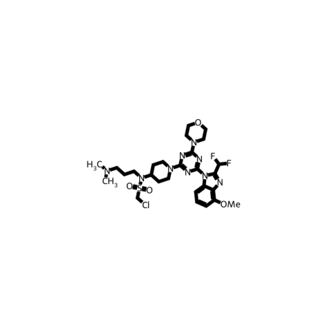 COc1cccc2c1nc(C(F)F)n2-c1nc(N2CCOCC2)nc(N2CCC(N(CCCN(C)C)S(=O)(=O)CCl)CC2)n1